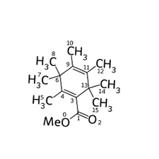 COC(=O)C1=C(C)C(C)(C)C(C)=C(C)C1(C)C